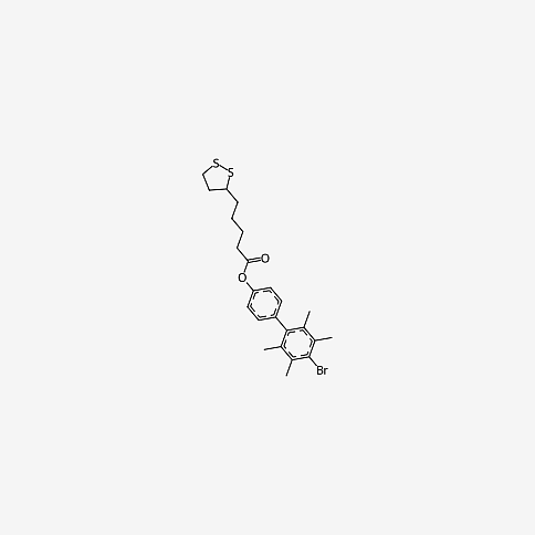 Cc1c(C)c(-c2ccc(OC(=O)CCCCC3CCSS3)cc2)c(C)c(C)c1Br